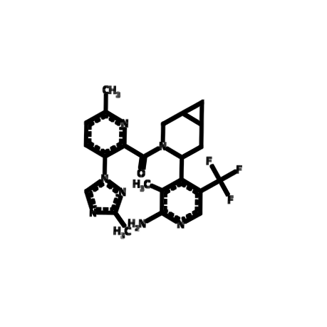 Cc1ccc(-n2cnc(C)n2)c(C(=O)N2CC3CC3CC2c2c(C(F)(F)F)cnc(N)c2C)n1